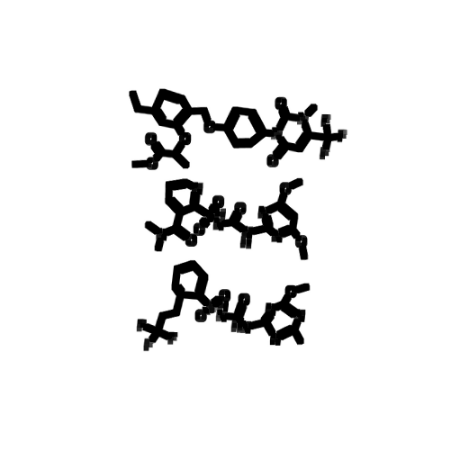 CCc1ccc(COc2ccc(-n3c(=O)cc(C(F)(F)F)n(C)c3=O)cc2)c(OC(C)C(=O)OC)c1.COc1cc(OC)nc(NC(=O)NS(=O)(=O)c2ncccc2C(=O)N(C)C)n1.COc1nc(C)nc(NC(=O)NS(=O)(=O)c2ccccc2CCC(F)(F)F)n1